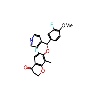 COc1ccc([C@H](Oc2c(F)cc3c(c2C)OCCC3=O)c2ccncc2)cc1F